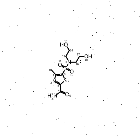 Cc1nc(C(N)=O)sc1S(=O)(=O)N(CCO)CCO